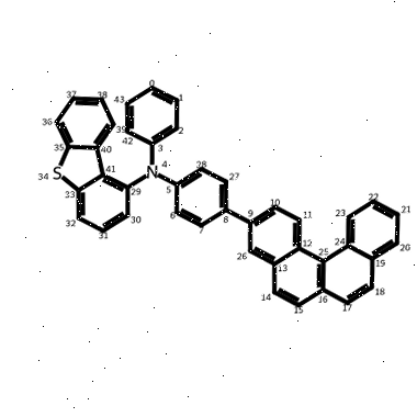 c1ccc(N(c2ccc(-c3ccc4c(ccc5ccc6ccccc6c54)c3)cc2)c2cccc3sc4ccccc4c23)cc1